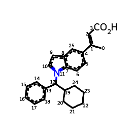 CC(=CC(=O)O)c1ccc2c(ccn2C(c2ccccc2)C2CCCCC2)c1